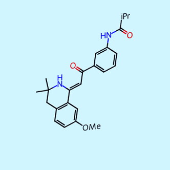 COc1ccc2c(c1)/C(=C/C(=O)c1cccc(NC(=O)C(C)C)c1)NC(C)(C)C2